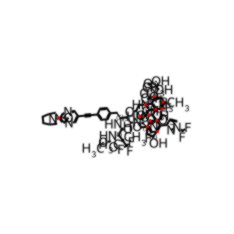 COC(=O)N[C@H](C(=O)N[C@@H](Cc1ccc(C#Cc2cnc(N3CC4CCC(C3)N4C3COC3)nc2)cc1)[C@H](CN(Cc1c(F)cc(-c2ccn(C(F)F)n2)cc1F)NC(=O)[C@@H](NC(=O)OC)C(C)(C)C(F)(F)F)OC(=O)CC(C)(C)c1c(CC(=O)N2C[C@H](O)C[C@H]2C(=O)O)cc(C)cc1OP(=O)(O)O)C(C)(C)C(F)(F)F